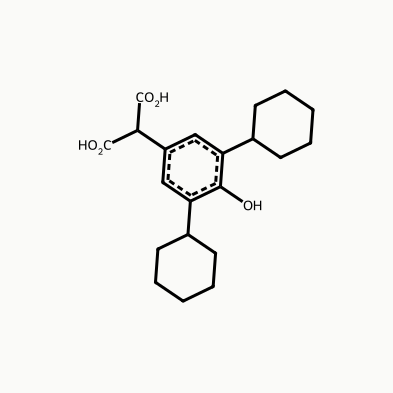 O=C(O)C(C(=O)O)c1cc(C2CCCCC2)c(O)c(C2CCCCC2)c1